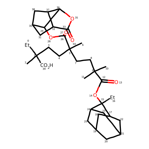 CCC(C)(CCC(C)(CCC(C)(C)C(=O)OC1(CC)C2CC3CC(C2)CC1C3)C(=O)OC1C2CC3C(=O)OC1C3C2)C(=O)O